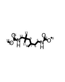 COC(=O)NCCC(C)CC(C)(C)CNC(=O)OC